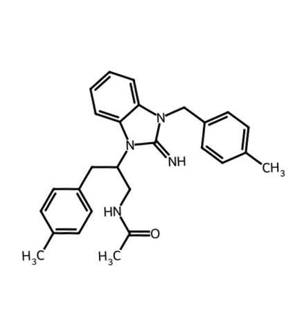 CC(=O)NCC(Cc1ccc(C)cc1)n1c(=N)n(Cc2ccc(C)cc2)c2ccccc21